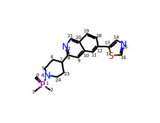 C=P(C)(C)N1CCC(c2cc3cc(-c4cncs4)ccc3cn2)CC1